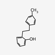 Cc1ccc(CCc2ccccc2O)cc1